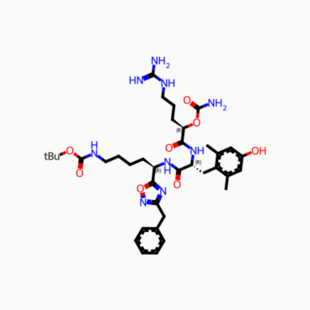 Cc1cc(O)cc(C)c1C[C@@H](NC(=O)[C@@H](CCCNC(=N)N)OC(N)=O)C(=O)N[C@H](CCCCNC(=O)OC(C)(C)C)c1nc(Cc2ccccc2)no1